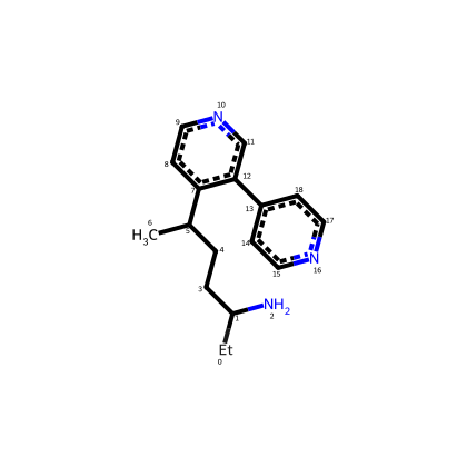 CCC(N)CCC(C)c1ccncc1-c1ccncc1